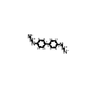 [N-]=[N+]=Nc1ccc(-c2ccc(N=[N+]=[N-])cc2)cc1